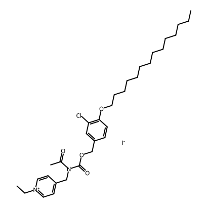 CCCCCCCCCCCCCCOc1ccc(COC(=O)N(Cc2cc[n+](CC)cc2)C(C)=O)cc1Cl.[I-]